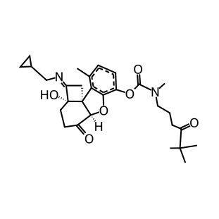 Cc1ccc(OC(=O)N(C)CCCC(=O)C(C)(C)C)c2c1[C@]13C/C(=N/CC4CC4)[C@]1(O)CCC(=O)[C@@H]3O2